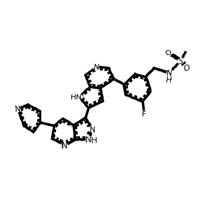 CS(=O)(=O)NCc1cc(F)cc(-c2cncc3[nH]c(-c4n[nH]c5ncc(-c6ccncc6)cc45)cc23)c1